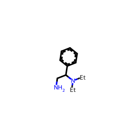 CCN(CC)C(CN)c1ccccc1